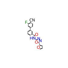 N#Cc1ccc(-c2cccc(C(=O)Nc3nnc(-c4ccco4)o3)c2)cc1F